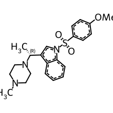 COc1ccc(S(=O)(=O)n2cc([C@@H](C)N3CCN(C)CC3)c3ccccc32)cc1